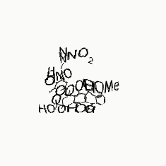 COc1cccc2c1C(=O)c1c(O)c3c(c(O)c1C2=O)CC(O)(C(=O)CO)CC3OC1CC(NC(=O)CCn2ccnc2[N+](=O)[O-])C(O)C(C)O1